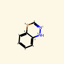 C1=NNc2ccccc2S1